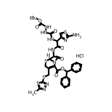 Cc1nnc(SCC2=C(C(=O)OC(c3ccccc3)c3ccccc3)N3C(=O)C(NC(=O)C(NC(=O)NNC(=O)OC(C)(C)C)c4csc(N)n4)[C@@H]3SC2)s1.Cl